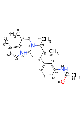 [CH2]C(CN1CCC(c2cccc(NC(C)=O)c2)C(C)C1C)c1[nH]ccc1C